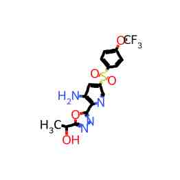 CC(O)c1nnc(-c2ncc(S(=O)(=O)c3ccc(OC(F)(F)F)cc3)cc2N)o1